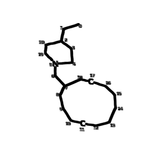 CCC1CCN(CC2CCCCCCCCCCC2)CC1